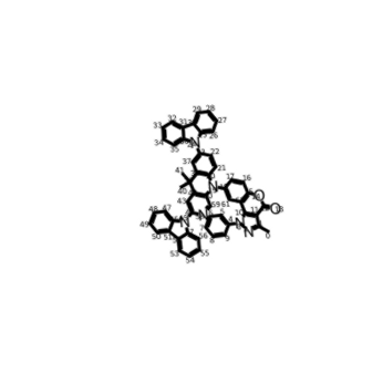 Cc1nn(-c2ccccc2)c2c1c(=O)oc1ccc(N3c4ccc(-n5c6ccccc6c6ccccc65)cc4C(C)(C)c4cc(-n5c6ccccc6c6ccccc65)ncc43)cc12